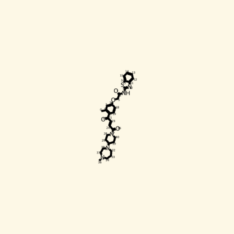 Cc1cc(OCC(=O)Nc2nc3ccccc3s2)ccc1C(=O)C=CC(=O)N1CCC(N2CCCN(C)CC2)CC1